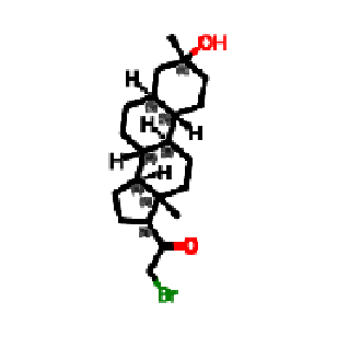 C[C@@]1(O)CC[C@H]2[C@@H](CC[C@@H]3[C@@H]2CC[C@]2(C)[C@@H](C(=O)CBr)CC[C@@H]32)C1